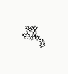 c1cc(-c2ccc3ccccc3c2)cc(N(c2ccc(-c3ccc4sc5ccccc5c4c3)cc2)c2ccc(-c3cccc4oc5c6ccccc6ccc5c34)cc2)c1